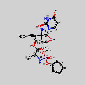 CC#CC1(N)[C@@H](O)[C@@H](COP(=O)(N[C@@H](C)C(=O)OC(C)C)Oc2ccccc2)O[C@H]1n1ccc(=O)[nH]c1=O